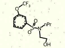 CCCN(CCO)S(=O)(=O)c1cccc(OC(F)(F)F)c1